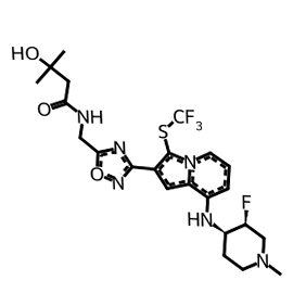 CN1CC[C@@H](Nc2cccn3c(SC(F)(F)F)c(-c4noc(CNC(=O)CC(C)(C)O)n4)cc23)[C@@H](F)C1